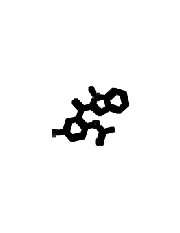 C=C(c1cc(F)ccc1OC(C)=O)c1cc2ccccc2n1C